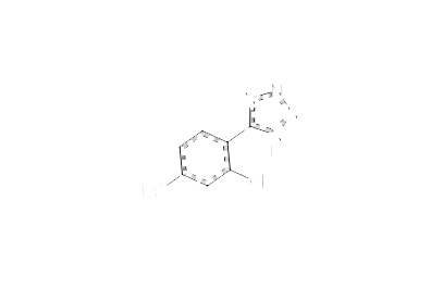 Cc1ccc(-c2nnn[nH]2)c(Cl)c1